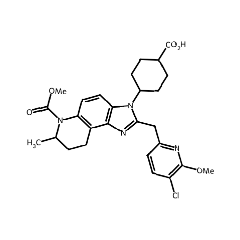 COC(=O)N1c2ccc3c(nc(Cc4ccc(Cl)c(OC)n4)n3C3CCC(C(=O)O)CC3)c2CCC1C